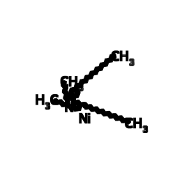 CCCCCCCCCCCCCCC=Cc1ccc(N=C(CCCC)C(CCCCCC)=Nc2ccc(C=CCCCCCCCCCCCCCC)cc2)cc1.[Ni]